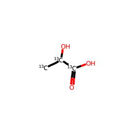 [13CH3][13CH](O)[13C](=O)O